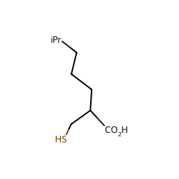 CC(C)CCCC(CS)C(=O)O